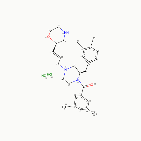 Cc1ccc(C[C@@H]2CN(C/C=C/[C@@H]3CNCCO3)CCN2C(=O)c2cc(C(F)(F)F)cc(C(F)(F)F)c2)cc1C.Cl.Cl